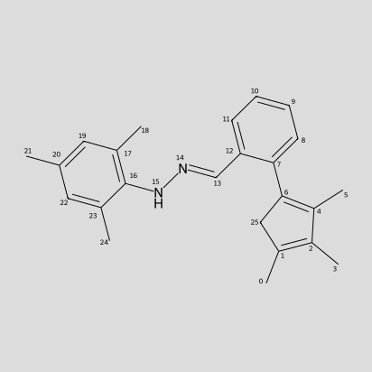 CC1=C(C)C(C)=C(c2ccccc2/C=N/Nc2c(C)cc(C)cc2C)C1